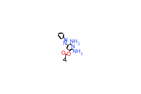 Nc1nc(N)c(OC(=O)C2CC2)cc1/N=N/c1ccccc1